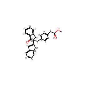 COC(=O)Cc1ccc(C[C@]2(C3=Cc4ccccc4C3)Cc3ccccc3C2=O)cc1